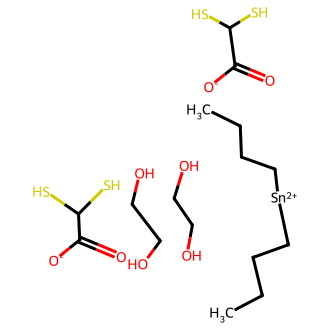 CCC[CH2][Sn+2][CH2]CCC.O=C([O-])C(S)S.O=C([O-])C(S)S.OCCO.OCCO